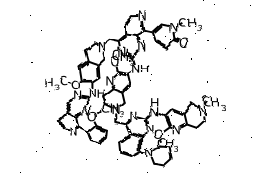 COc1cc2c(cc1Nc1ncc3ccnc(-c4ccccc4OC)c3n1)CN(Cc1nc(Nc3cc4c(nc3OC)CCN(Cc3nc(Nc5cc6c(nc5OC)CCN(C)C6)nc5c(N6CCCCC6)cccc35)C4)nc3c(-c4ccc(=O)n(C)c4)nccc13)CC2